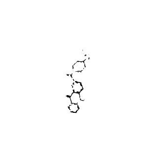 CN=S(C)(=O)C1CCN(C(=O)c2ccc3c(c2)C(=O)c2ccccc2C3=O)CC1